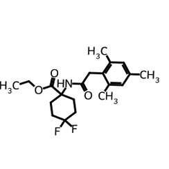 CCOC(=O)C1(NC(=O)Cc2c(C)cc(C)cc2C)CCC(F)(F)CC1